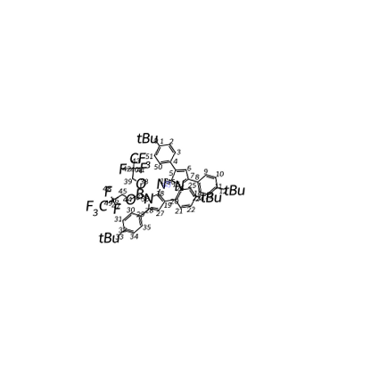 CC(C)(C)c1ccc(C2=CC(c3ccc(C(C)(C)C)cc3)=N/C2=N\c2c(-c3ccc(C(C)(C)C)cc3)cc(-c3ccc(C(C)(C)C)cc3)n2B(OCC(F)(F)C(F)(F)F)OCC(F)(F)C(F)(F)F)cc1